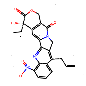 C=CCc1c2c(nc3c([N+](=O)[O-])cccc13)-c1cc3c(c(=O)n1C2)COC(=O)[C@]3(O)CC